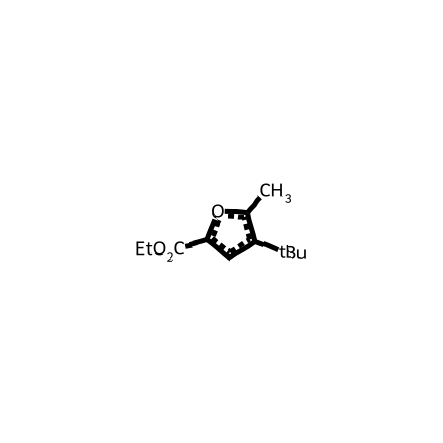 CCOC(=O)c1cc(C(C)(C)C)c(C)o1